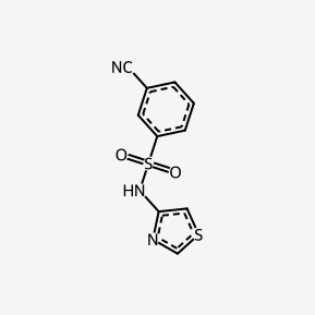 N#Cc1cccc(S(=O)(=O)Nc2cscn2)c1